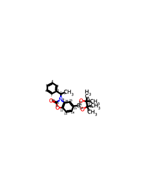 CC(c1ccccc1)n1c(=O)oc2ccc(B3OC(C)(C)C(C)(C)O3)cc21